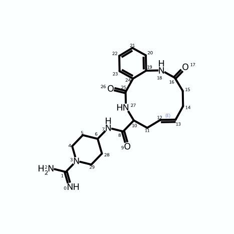 N=C(N)N1CCC(NC(=O)C2C/C=C/CCC(=O)Nc3ccccc3C(=O)N2)CC1